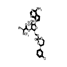 CC(C)[C@H](NC(F)(F)F)C(=O)O[C@@H]1[C@@H](COP2(=O)OCC[C@H](c3cccc(Cl)c3)O2)O[C@@H](n2ccc3c(N)ncnc32)[C@]1(C)O